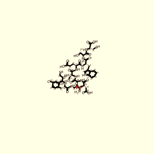 C[C@@H](O)[C@H](NC(=O)[C@H](Cc1c[nH]c2ccccc12)NC(=O)[C@H](CCC(=O)O)NC(=O)[C@H](CO)NC(=O)[C@H](CC(N)=O)NC(=O)[C@H](CC(=O)O)NC(=O)CNC(=O)[C@H](Cc1ccc(Cl)cc1)NC(=O)[C@@H](N)CS)C(=O)N[C@@H](CS)C(=O)O